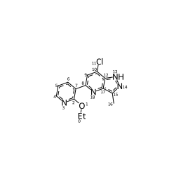 CCOc1ncccc1-c1cc(Cl)c2[nH]nc(C)c2n1